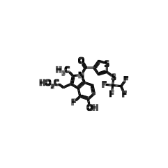 Cc1c(CC(=O)O)c2c(F)c(O)ccc2n1C(=O)c1csc(SC(F)(F)C(F)F)c1